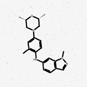 Cc1cc(N2C[C@@H](C)O[C@@H](C)C2)ccc1Nc1ccc2cnn(C)c2c1